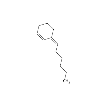 CCCC[CH]C=C1C=CCCC1